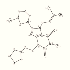 CC(C)=CCn1c(N2CCCC(N)C2)nc2c1c(=O)n(C)c(=O)n2CCN1CCCC1